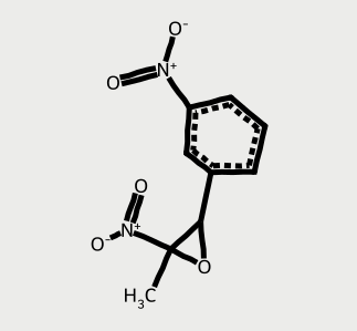 CC1([N+](=O)[O-])OC1c1cccc([N+](=O)[O-])c1